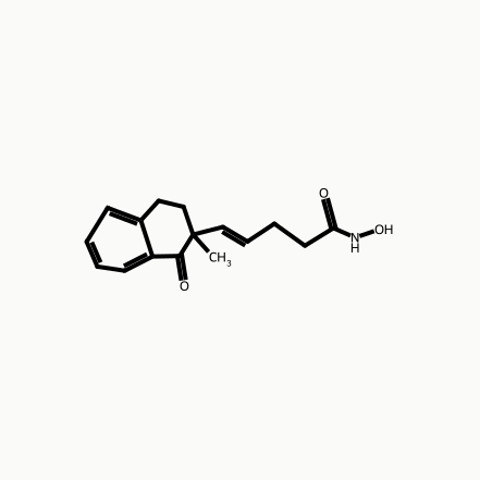 CC1(/C=C/CCC(=O)NO)CCc2ccccc2C1=O